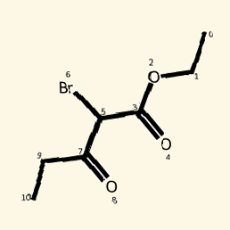 CCOC(=O)C(Br)C(=O)CC